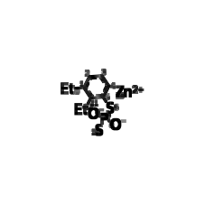 CCc1cccc(SP([O-])([O-])=S)c1CC.[Zn+2]